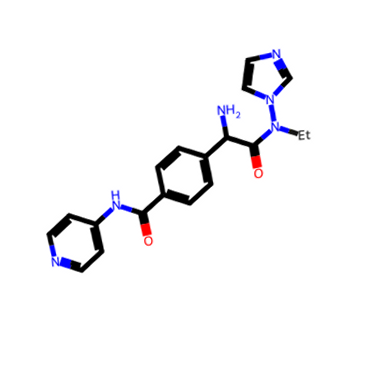 CCN(C(=O)C(N)c1ccc(C(=O)Nc2ccncc2)cc1)n1ccnc1